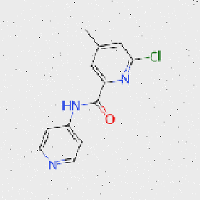 Cc1cc(Cl)nc(C(=O)Nc2ccncc2)c1